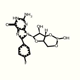 Nc1nc2c(nc(-c3ccc(F)cc3)n2[C@@H]2OC3COP(O)O[C@H]3[C@@H]2O)c(=O)[nH]1